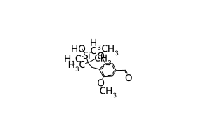 COc1cc(C=O)cc(OC)c1CC(C)(C)[Si](C)(C)O